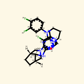 Cc1ncnc(N2C[C@H]3CC[C@@H](C2)[C@@H]3Nc2nc3n(n2)CCCN3c2ccc(F)c(F)c2)c1F